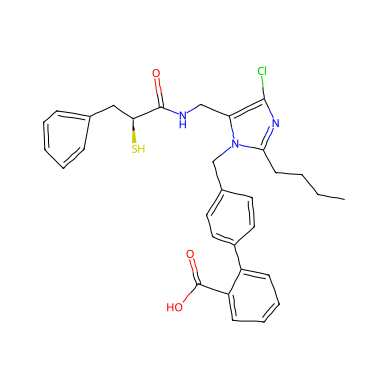 CCCCc1nc(Cl)c(CNC(=O)[C@@H](S)Cc2ccccc2)n1Cc1ccc(-c2ccccc2C(=O)O)cc1